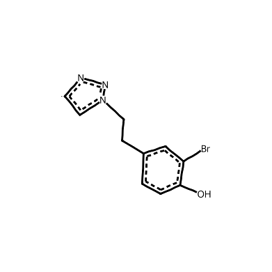 Oc1ccc(CCn2c[c]nn2)cc1Br